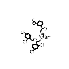 COc1cccc(C(=O)Cn2cc[n+](CC(OCc3ccc(Cl)cc3Cl)c3ccc(Cl)cc3Cl)c2)c1.[Br-]